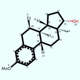 CC[C@@H]1Cc2cc(OC)ccc2[C@H]2CC[C@]3(C)[C@@H](O)CC[C@H]3[C@H]12